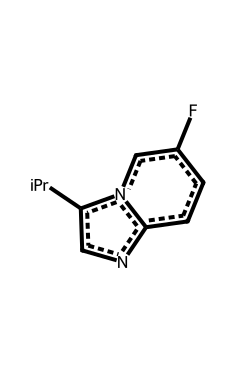 CC(C)c1cnc2ccc(F)cn12